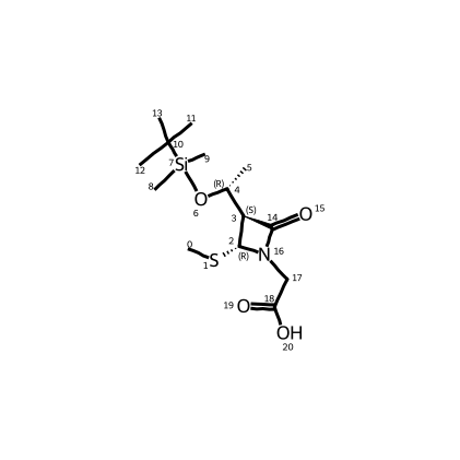 CS[C@@H]1[C@@H]([C@@H](C)O[Si](C)(C)C(C)(C)C)C(=O)N1CC(=O)O